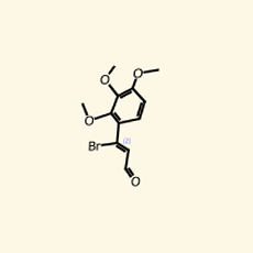 COc1ccc(/C(Br)=C/C=O)c(OC)c1OC